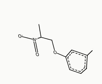 Cc1cccc(OCC(C)[N+](=O)[O-])c1